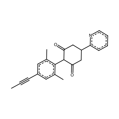 CC#Cc1cc(C)c(C2C(=O)CC(c3ccccn3)CC2=O)c(C)c1